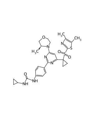 Cc1nc(S(=O)(=O)C2(c3cc(N4CCOC[C@@H]4C)nc(-c4ccc(NC(=O)NC5CC5)cc4)n3)CC2)sc1C